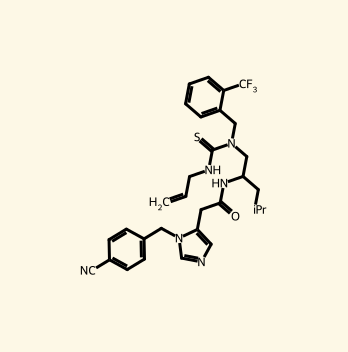 C=CCNC(=S)N(Cc1ccccc1C(F)(F)F)CC(CC(C)C)NC(=O)Cc1cncn1Cc1ccc(C#N)cc1